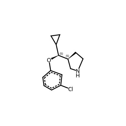 Clc1cccc(O[C@@H](C2CC2)[C@H]2CCNC2)c1